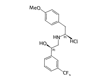 COc1ccc(C[C@@H](C)NC[C@H](O)c2cccc(C(F)(F)F)c2)cc1.Cl